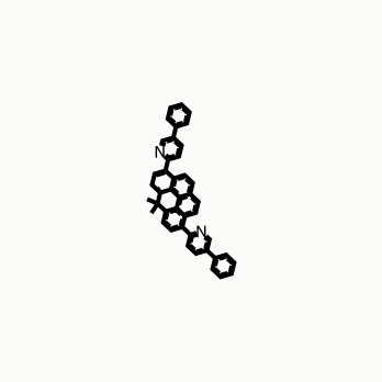 CC1(C)c2ccc(-c3ccc(-c4ccccc4)cn3)c3ccc4ccc5c(c4c23)C1(C)CC=C5c1ccc(-c2ccccc2)cn1